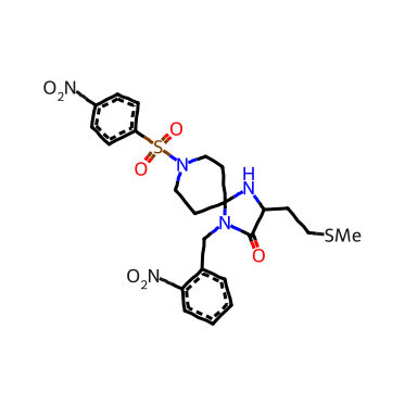 CSCCC1NC2(CCN(S(=O)(=O)c3ccc([N+](=O)[O-])cc3)CC2)N(Cc2ccccc2[N+](=O)[O-])C1=O